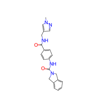 Cn1cc(CNC(=O)c2ccc(NC(=O)N3Cc4ccccc4C3)cc2)cn1